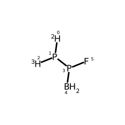 [2H]P([3H])P(B)F